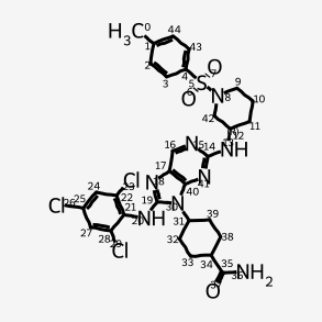 Cc1ccc(S(=O)(=O)N2CCC[C@@H](Nc3ncc4nc(Nc5c(Cl)cc(Cl)cc5Cl)n(C5CCC(C(N)=O)CC5)c4n3)C2)cc1